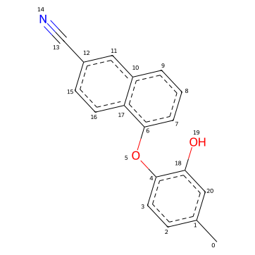 Cc1ccc(Oc2cccc3cc(C#N)ccc23)c(O)c1